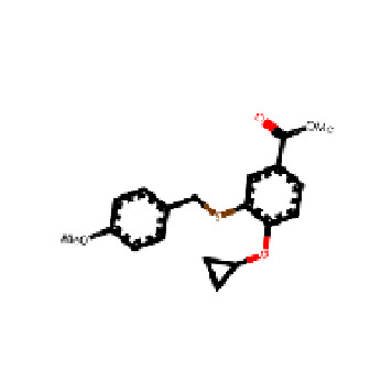 COC(=O)c1ccc(OC2CC2)c(SCc2ccc(OC)cc2)c1